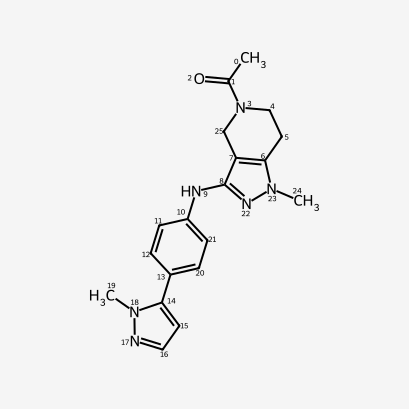 CC(=O)N1CCc2c(c(Nc3ccc(-c4ccnn4C)cc3)nn2C)C1